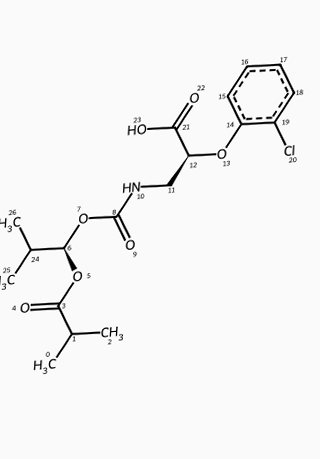 CC(C)C(=O)O[C@H](OC(=O)NC[C@H](Oc1ccccc1Cl)C(=O)O)C(C)C